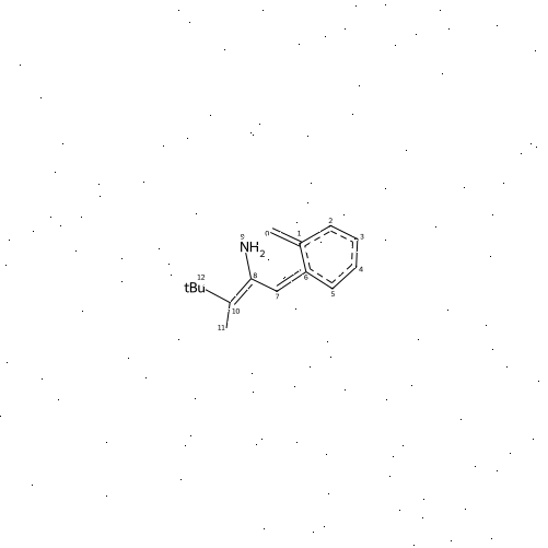 C=c1cccc/c1=C/C(N)=C(\C)C(C)(C)C